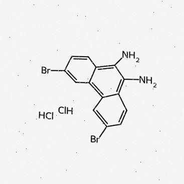 Cl.Cl.Nc1c(N)c2ccc(Br)cc2c2cc(Br)ccc12